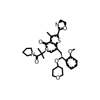 COc1ccccc1[C@H](Cc1cn(C(C)(C)C(=O)N2CCCC2)c(=O)c2c(C)c(-c3ncco3)sc12)OC1CCOCC1